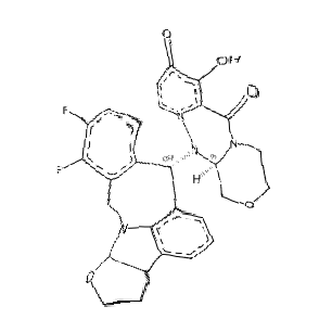 O=C1c2c(O)c(=O)ccn2N([C@H]2c3ccc(F)c(F)c3CN3c4c(cccc42)C2CCOC23)[C@@H]2COCCN12